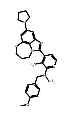 COc1ccc(CN(N)c2nccc(-c3nc4cc(N5CCCC5)cc5c4n3CCCO5)c2N)cc1